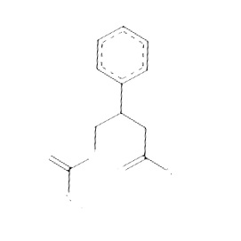 NC(=O)OCC(c1ccccc1)[C@H](O)C(N)=S